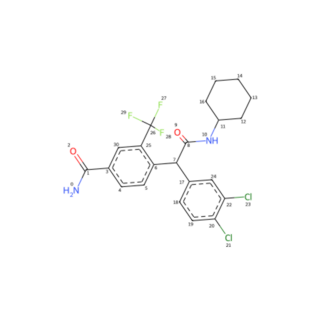 NC(=O)c1ccc(C(C(=O)NC2CCCCC2)c2ccc(Cl)c(Cl)c2)c(C(F)(F)F)c1